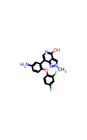 Cn1cc2c(O)ncc(-c3cc(N)ccc3Oc3ccc(F)cc3F)c2n1